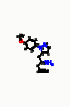 CNCC(N)Cc1ccnn1-c1ccc(OC(C)C)cc1